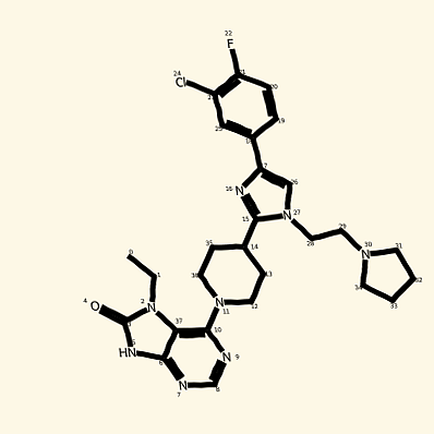 CCn1c(=O)[nH]c2ncnc(N3CCC(c4nc(-c5ccc(F)c(Cl)c5)cn4CCN4CCCC4)CC3)c21